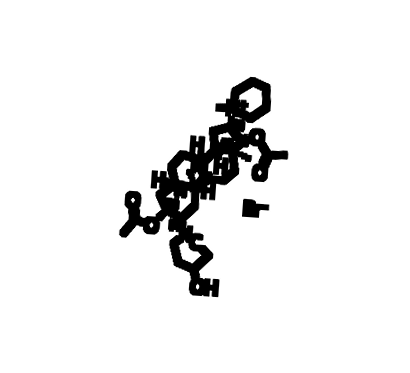 CC(=O)O[C@H]1C[C@@H]2CC[C@@H]3[C@H](CC[C@@]4(C)[C@H]3C[C@H]([N+]3(C)CCCCC3)[C@@H]4OC(C)=O)[C@@]2(C)C[C@@H]1N1CCC(O)CC1.[Br-]